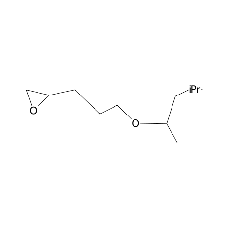 C[C](C)CC(C)OCCCC1CO1